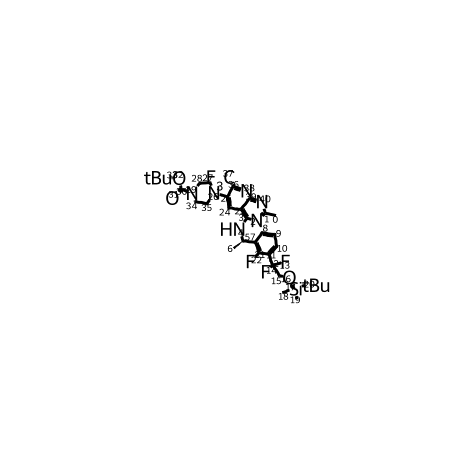 Cc1nc(N[C@H](C)c2cccc(C(F)(F)CO[Si](C)(C)C(C)(C)C)c2F)c2cc(N3CCN(C(=O)OC(C)(C)C)CC3)c(C(F)(F)F)nc2n1